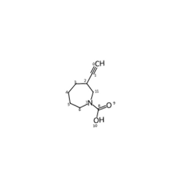 C#CC1CCCCN(C(=O)O)C1